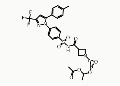 CC(=O)OC(C)On1on1N1CC(C(=O)NS(=O)(=O)c2ccc(-n3nc(C(F)(F)F)cc3-c3ccc(C)cc3)cc2)C1